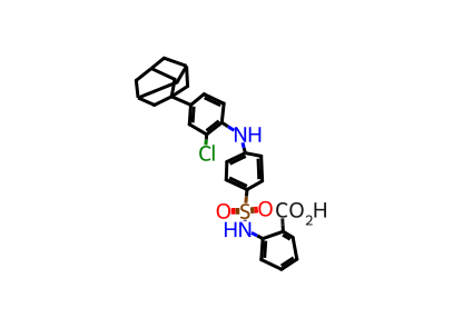 O=C(O)c1ccccc1NS(=O)(=O)c1ccc(Nc2ccc(C34CC5CC(CC(C5)C3)C4)cc2Cl)cc1